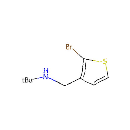 CC(C)(C)NCc1ccsc1Br